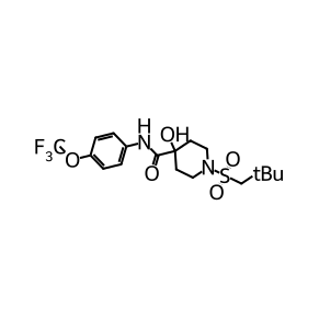 CC(C)(C)CS(=O)(=O)N1CCC(O)(C(=O)Nc2ccc(OC(F)(F)F)cc2)CC1